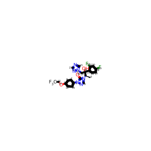 C[C@@H](n1cnn(-c2ccc(OCC(F)(F)F)cc2)c1=O)[C@](O)(Cn1cncn1)c1ccc(F)cc1F